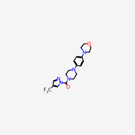 O=C(N1CCN(c2ccc(N3CCOCC3)cc2)CC1)n1cc(C(F)(F)F)cn1